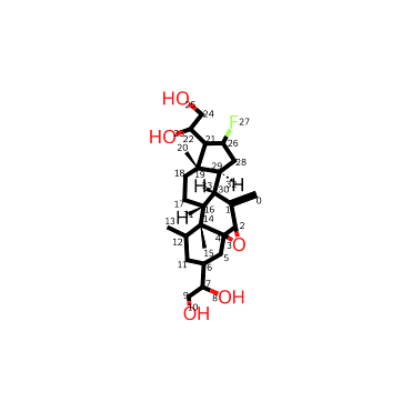 C=C1C2OC23CC(C(O)CO)CC(C)[C@]3(C)[C@@H]2CC[C@]3(C)C(C(O)CO)C(F)C[C@H]3[C@H]12